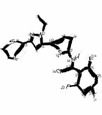 CCn1nc(-c2nccs2)cc1-c1ccc(NC(=O)c2c(F)cc(F)cc2F)s1